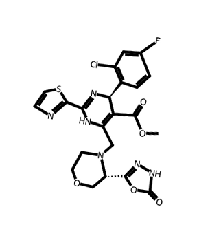 COC(=O)C1=C(CN2CCOC[C@H]2c2n[nH]c(=O)o2)NC(c2nccs2)=N[C@H]1c1ccc(F)cc1Cl